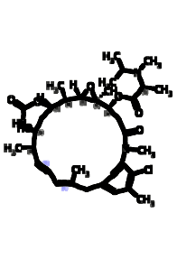 C/C1=C\C=C\[C@@H](C)[C@@]2(O)C[C@H](OC(=O)N2)[C@@H](C)[C@@H]2O[C@@]2(C)[C@@H](OC(=O)[C@H](C)N(C)C(C)C)CC(=O)N(C)c2cc(cc(C)c2Cl)C1